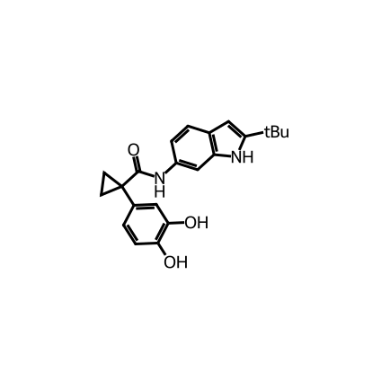 CC(C)(C)c1cc2ccc(NC(=O)C3(c4ccc(O)c(O)c4)CC3)cc2[nH]1